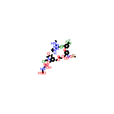 CCNc1nc(Cl)nc(NC(C)(C)C)n1.CCOC(=O)COC(=O)c1cc(Oc2ccc(C(F)(F)F)cc2Cl)ccc1[N+](=O)[O-].CCc1cccc(C)c1N(C(=O)CCl)C(C)COC.C[S+](C)C.O=C(O)CNCP(=O)([O-])O